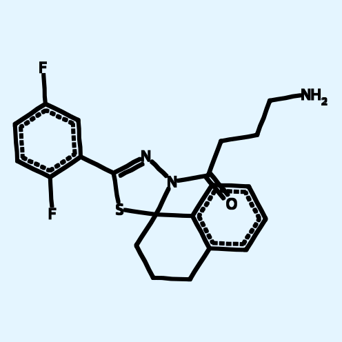 NCCCC(=O)N1N=C(c2cc(F)ccc2F)SC12CCCc1ccccc12